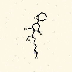 CCC(=NOC/C=C/Cl)C1=C(O)CC(C23COCCC2O3)CC1=O